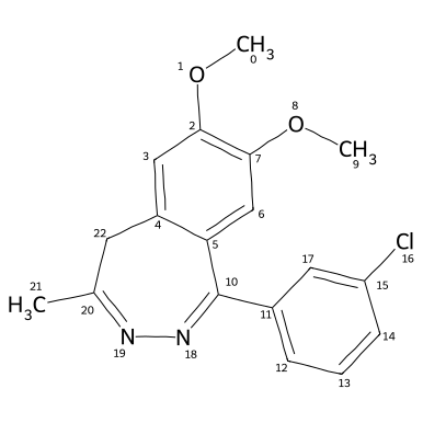 COc1cc2c(cc1OC)C(c1cccc(Cl)c1)=NN=C(C)C2